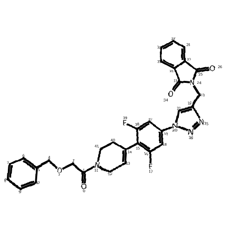 O=C(COCc1ccccc1)N1CC=C(c2c(F)cc(-n3cc(CN4C(=O)c5ccccc5C4=O)nn3)cc2F)CC1